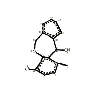 Cc1ccc(Cl)c2c1C(C#N)c1ccccc1CO2